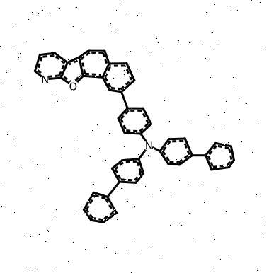 c1ccc(-c2ccc(N(c3ccc(-c4ccccc4)cc3)c3ccc(-c4ccc5ccc6c7cccnc7oc6c5c4)cc3)cc2)cc1